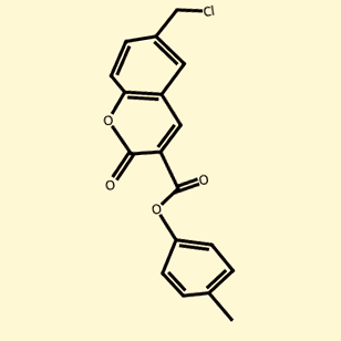 Cc1ccc(OC(=O)c2cc3cc(CCl)ccc3oc2=O)cc1